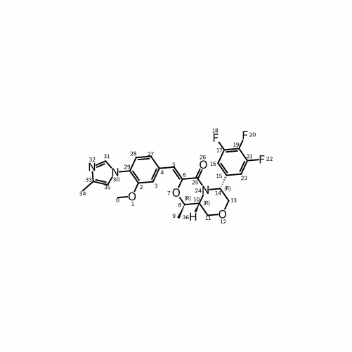 COc1cc(C=C2O[C@H](C)[C@H]3COC[C@@H](c4cc(F)c(F)c(F)c4)N3C2=O)ccc1-n1cnc(C)c1